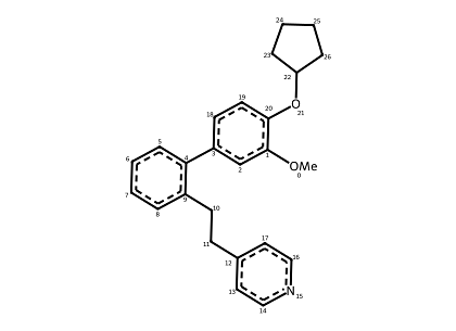 COc1cc(-c2ccccc2CCc2ccncc2)ccc1OC1CCCC1